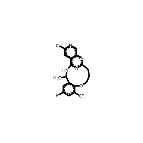 CC1Nc2nc(nc3cnc(Cl)cc23)CCCOc2c1cc(F)cc2C(F)(F)F